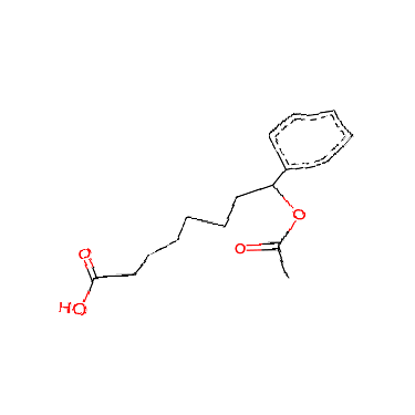 CC(=O)OC(CCCCCCC(=O)O)c1ccccc1